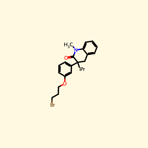 CC(C)C1(c2cccc(OCCCBr)c2)Cc2ccccc2N(C)C1=O